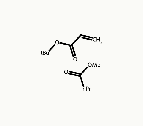 C=CC(=O)OC(C)(C)C.CCCC(=O)OC